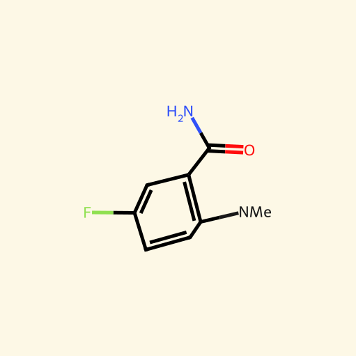 CNc1ccc(F)cc1C(N)=O